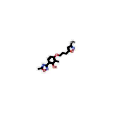 CCCc1cc(CCCOc2ccc(-c3noc(C)n3)c(O)c2C)on1